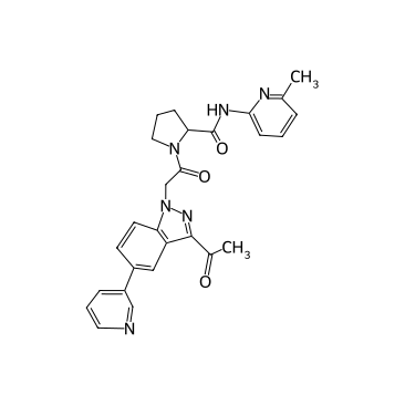 CC(=O)c1nn(CC(=O)N2CCCC2C(=O)Nc2cccc(C)n2)c2ccc(-c3cccnc3)cc12